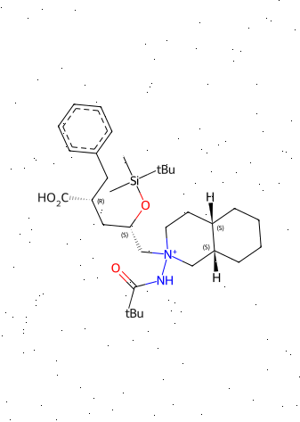 CC(C)(C)C(=O)N[N+]1(C[C@H](C[C@@H](Cc2ccccc2)C(=O)O)O[Si](C)(C)C(C)(C)C)CC[C@@H]2CCCC[C@@H]2C1